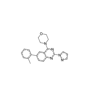 Cc1ccccc1-c1ccc2nc(-n3cccn3)nc(N3CCOCC3)c2c1